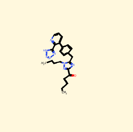 CCCCC(=O)c1nc(Cc2ccc(-c3cccnc3-c3nnn[nH]3)cc2)n(CCCC)n1